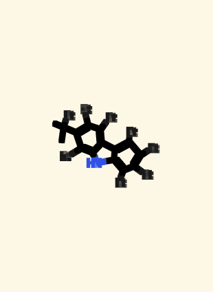 CCc1c(CC)c(CC)c2c([nH]c3c(CC)c(C(C)(C)CC)c(CC)c(CC)c32)c1CC